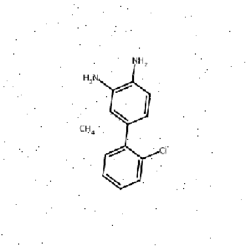 C.Nc1ccc(-c2ccccc2Cl)cc1N